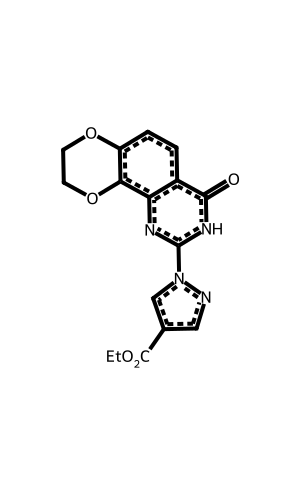 CCOC(=O)c1cnn(-c2nc3c4c(ccc3c(=O)[nH]2)OCCO4)c1